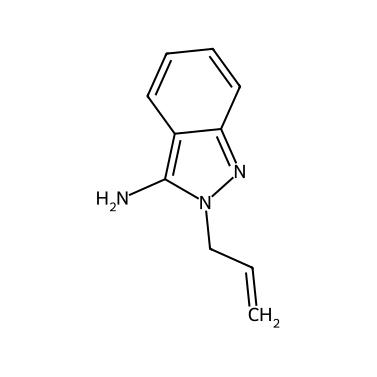 C=CCn1nc2ccccc2c1N